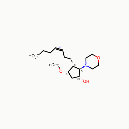 CCCCCCCCCCO[C@H]1C[C@@H](O)[C@H](N2CCOCC2)[C@H]1CC/C=C\CCC(=O)O